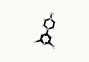 CCN1CCN(c2cc(F)nc(Br)c2)CC1